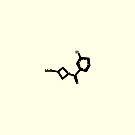 CCc1cccc(C(=O)N2CC(OC)C2)c1